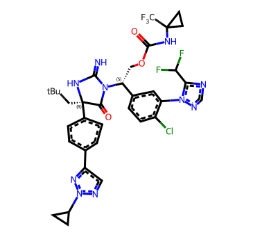 CC(C)(C)C[C@]1(c2ccc(-c3cnn(C4CC4)n3)cc2)NC(=N)N([C@H](COC(=O)NC2(C(F)(F)F)CC2)c2ccc(Cl)c(-n3ncnc3C(F)F)c2)C1=O